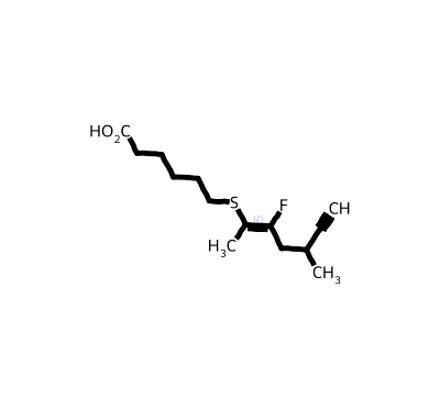 C#CC(C)C/C(F)=C(\C)SCCCCCC(=O)O